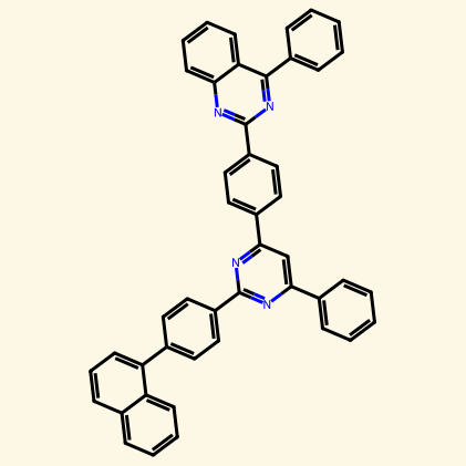 c1ccc(-c2cc(-c3ccc(-c4nc(-c5ccccc5)c5ccccc5n4)cc3)nc(-c3ccc(-c4cccc5ccccc45)cc3)n2)cc1